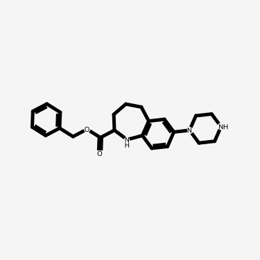 O=C(OCc1ccccc1)C1CCCc2cc(N3CCNCC3)ccc2N1